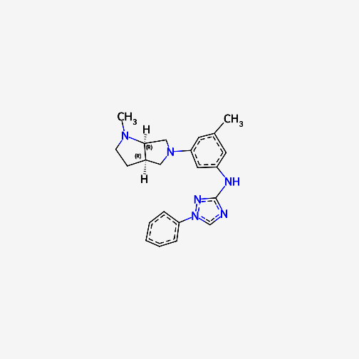 Cc1cc(Nc2ncn(-c3ccccc3)n2)cc(N2C[C@H]3CCN(C)[C@H]3C2)c1